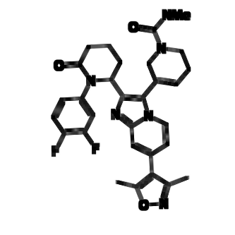 CNC(=O)N1CCC=C(c2c(C3CCCC(=O)N3c3ccc(F)c(F)c3)nc3cc(-c4c(C)noc4C)ccn23)C1